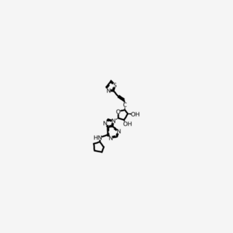 O[C@@H]1[C@H](O)[C@@H](CC#Cc2nccs2)O[C@H]1n1cnc2c(NC3CCCC3)ncnc21